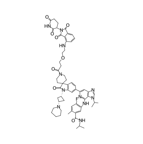 Cc1cc(F)c(Nc2nc(-c3ccc4c(c3)N([C@H]3C[C@@H](N5CCCCC5)C3)C(=O)C43CCN(C(=O)CCOCCNc4cccc5c4C(=O)N(C4CCC(=O)NC4=O)C5=O)CC3)cc3ncn(C(C)C)c23)cc1C(=O)NC(C)C